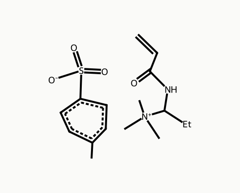 C=CC(=O)NC(CC)[N+](C)(C)C.Cc1ccc(S(=O)(=O)[O-])cc1